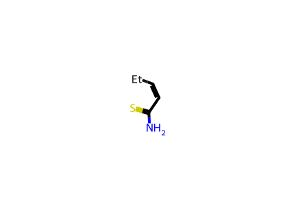 CC/C=C\C(N)=S